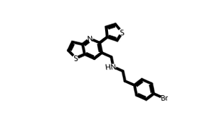 Brc1ccc(CCNCc2cc3sccc3nc2-c2ccsc2)cc1